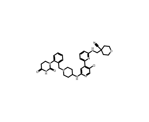 N#CC1(CNc2cccc(-c3cc(NC4CCN(Cc5ccccc5N5CCC(=O)NC5=O)CC4)ncc3Cl)n2)CCOCC1